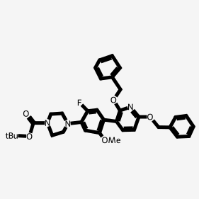 COc1cc(N2CCN(C(=O)OC(C)(C)C)CC2)c(F)cc1-c1ccc(OCc2ccccc2)nc1OCc1ccccc1